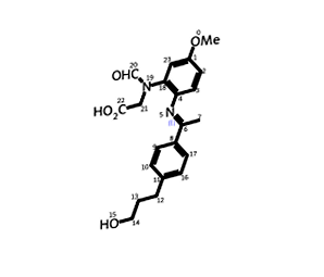 COc1ccc(/N=C(\C)c2ccc(CCCO)cc2)c(N(C=O)CC(=O)O)c1